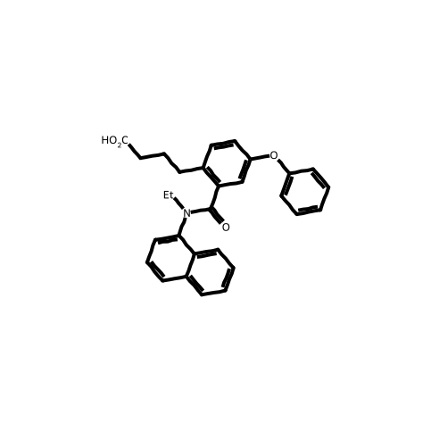 CCN(C(=O)c1cc(Oc2ccccc2)ccc1CCCC(=O)O)c1cccc2ccccc12